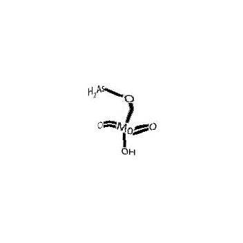 [O]=[Mo](=[O])([OH])[O][AsH2]